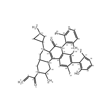 C=CC(=O)N1CC2CN(C3CN(C)C3)c3c(c4cc(F)c(-c5c(O)cccc5F)c(F)c4n(-c4c(C)ccnc4C(C)C)c3=O)N2CC1C